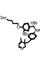 Br.CCCCCCCCCCCCCCOc1ccc(CN(C(C)=O)c2ccc(CC3(C)CN=CC=C3C)cc2)cc1C(C)(C)C